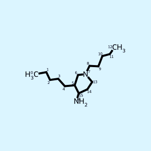 CCCCCC1CN(CCCCC)CCC1N